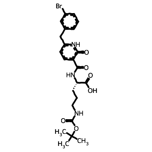 CC(C)(C)OC(=O)NCCC[C@H](NC(=O)c1ccc(Cc2cccc(Br)c2)[nH]c1=O)C(=O)O